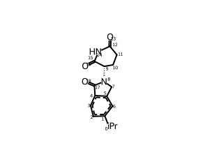 CC(C)c1ccc2c(c1)CN([C@H]1CCC(=O)NC1=O)C2=O